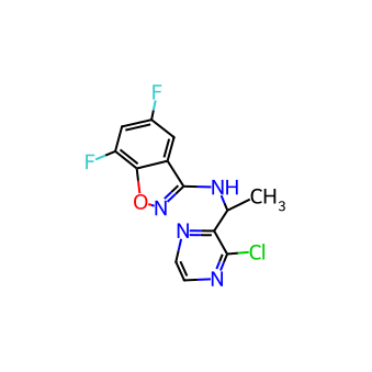 CC(Nc1noc2c(F)cc(F)cc12)c1nccnc1Cl